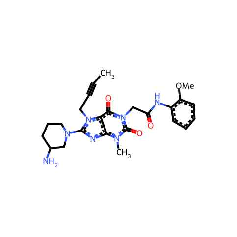 CC#CCn1c(N2CCCC(N)C2)nc2c1c(=O)n(CC(=O)Nc1ccccc1OC)c(=O)n2C